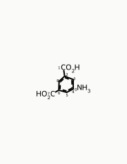 N.O=C(O)c1cccc(C(=O)O)c1